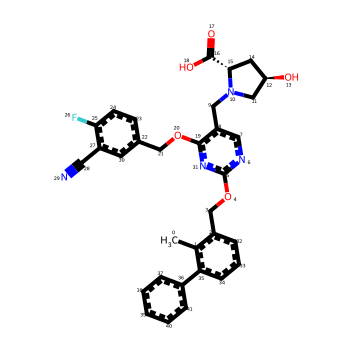 Cc1c(COc2ncc(CN3C[C@H](O)C[C@H]3C(=O)O)c(OCc3ccc(F)c(C#N)c3)n2)cccc1-c1ccccc1